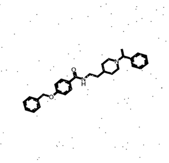 CC(c1ccccc1)N1CCC(CCNC(=O)c2ccc(OCc3ccccc3)cc2)CC1